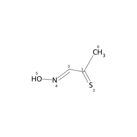 CC(=S)C=NO